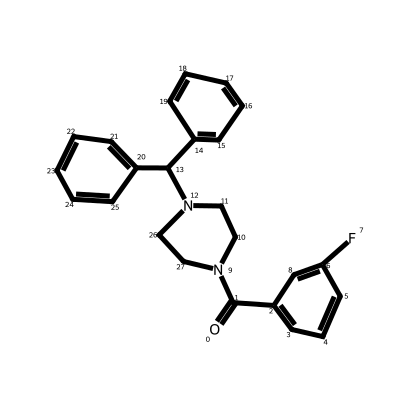 O=C(c1cccc(F)c1)N1CCN(C(c2ccccc2)c2ccccc2)CC1